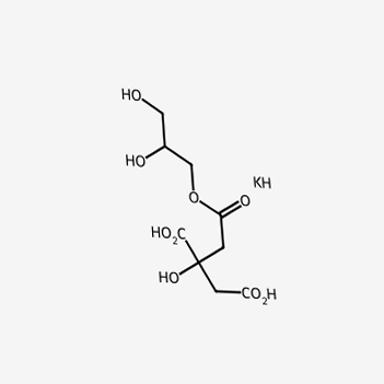 O=C(O)CC(O)(CC(=O)OCC(O)CO)C(=O)O.[KH]